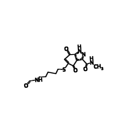 CNC(=O)c1n[nH]c2c1C(=O)C(SCCCCCNC=O)=CC2=O